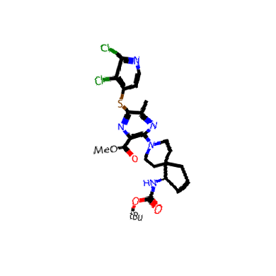 COC(=O)c1nc(Sc2ccnc(Cl)c2Cl)c(C)nc1N1CCC2(CCC[C@H]2NC(=O)OC(C)(C)C)CC1